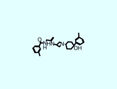 C=C(CNC(=O)c1cccc(C)c1)NC1CN([C@H]2CC[C@@](O)(c3cccc(C)c3)CC2)C1